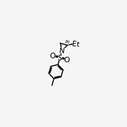 CC[C@@H]1CN1S(=O)(=O)c1ccc(C)cc1